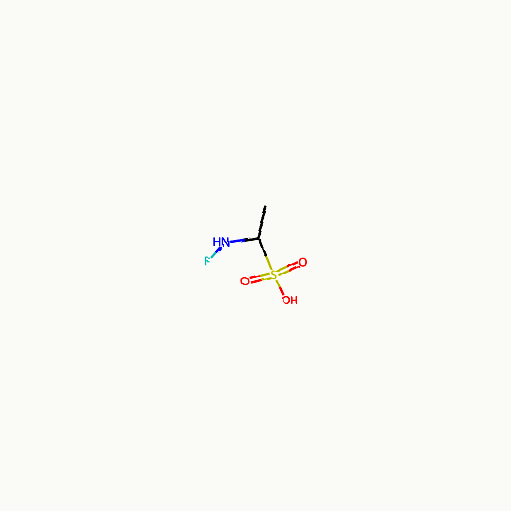 CC(NF)S(=O)(=O)O